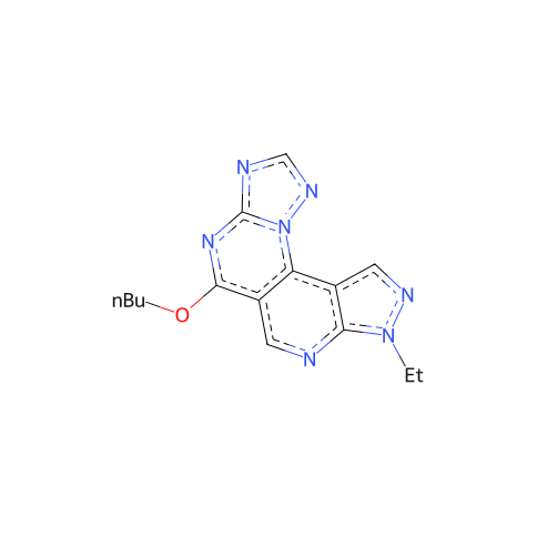 CCCCOc1nc2ncnn2c2c1cnc1c2cnn1CC